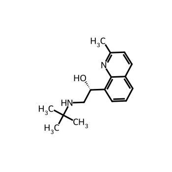 Cc1ccc2cccc([C@@H](O)CNC(C)(C)C)c2n1